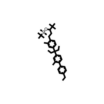 CCc1ccc(-c2ccc(C(CC)(CC)c3ccc(CCC(O[Si](C)(C)C(C)(C)C)C(C)(C)C)c(C)c3)cc2C)cc1